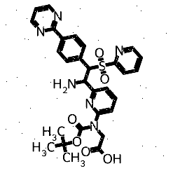 CC(C)(C)OC(=O)N(CC(=O)O)c1cccc(C(N)C(c2ccc(-c3ncccn3)cc2)S(=O)(=O)c2ccccn2)n1